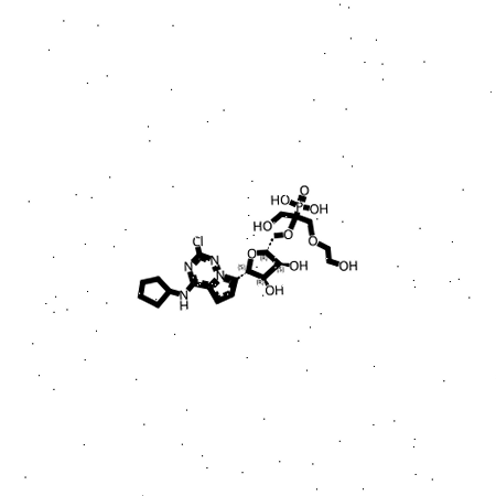 O=P(O)(O)C(CO)(COCCO)OC[C@H]1O[C@@H](c2ccc3c(NC4CCCC4)nc(Cl)nn23)[C@H](O)[C@@H]1O